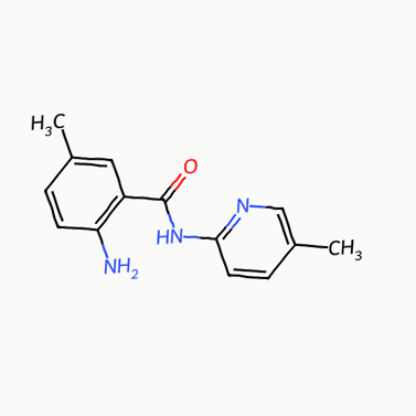 Cc1ccc(NC(=O)c2cc(C)ccc2N)nc1